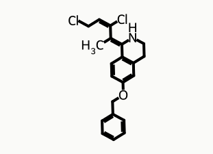 CC(=C1/NCCc2cc(OCc3ccccc3)ccc21)/C(Cl)=C\CCl